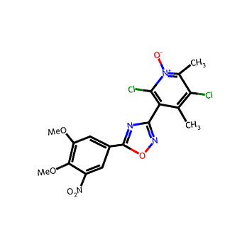 COc1cc(-c2nc(-c3c(C)c(Cl)c(C)[n+]([O-])c3Cl)no2)cc([N+](=O)[O-])c1OC